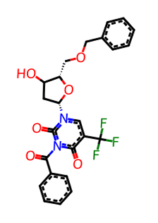 O=C(c1ccccc1)n1c(=O)c(C(F)(F)F)cn([C@@H]2CC(O)[C@H](COCc3ccccc3)O2)c1=O